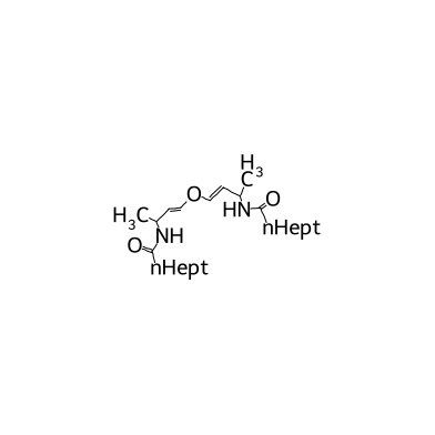 CCCCCCCC(=O)NC(C)/C=C/O/C=C/C(C)NC(=O)CCCCCCC